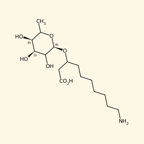 CC1O[C@@H](OC(CCCCCCCN)CC(=O)O)C(O)[C@@H](O)[C@H]1O